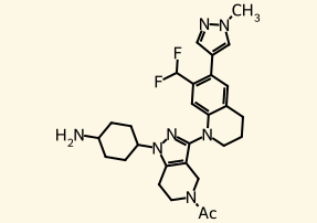 CC(=O)N1CCc2c(c(N3CCCc4cc(-c5cnn(C)c5)c(C(F)F)cc43)nn2C2CCC(N)CC2)C1